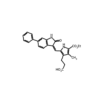 CCOC(=O)c1[nH]c(/C=C2\C(=O)Nc3cc(-c4ccccc4)ccc32)c(CCC(=O)O)c1C